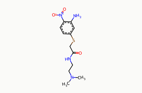 CN(C)CCNC(=O)CSc1ccc([N+](=O)[O-])c(N)c1